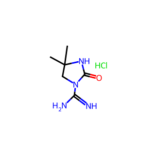 CC1(C)CN(C(=N)N)C(=O)N1.Cl